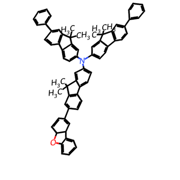 CC1(C)c2cc(C3=CC4c5ccccc5OC4C=C3)ccc2-c2ccc(N(c3ccc4c(c3)C(C)(C)c3cc(-c5ccccc5)ccc3-4)c3ccc4c(c3)C(C)(C)c3cc(-c5ccccc5)ccc3-4)cc21